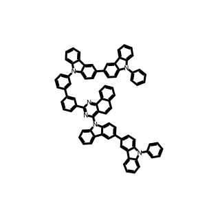 c1ccc(-n2c3ccccc3c3cc(-c4ccc5c(c4)c4ccccc4n5-c4cccc(-c5cccc(-c6nc(-n7c8ccccc8c8cc(-c9ccc%10c(c9)c9ccccc9n%10-c9ccccc9)ccc87)c7ccc8ccccc8c7n6)c5)c4)ccc32)cc1